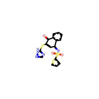 O=C1C(Sc2ncn[nH]2)=C/C(=N\S(=O)(=O)c2cccs2)c2ccccc21